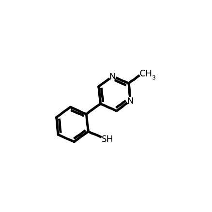 Cc1ncc(-c2ccccc2S)cn1